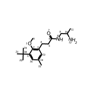 COc1c(CCC(=O)NCC(C)N)cc(C)cc1C(C)(C)C